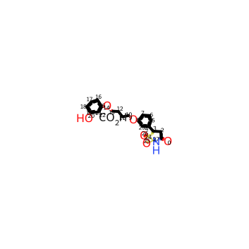 O=C1CC(c2cccc(OCCCCOc3cccc(O)c3C(=O)O)c2)S(=O)(=O)N1